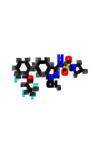 Cn1nc(NS(=O)(=O)N2CCC2)c2ccc(-c3cccc(F)c3OCC(F)(F)F)cc21